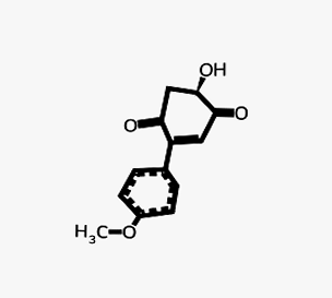 COc1ccc(C2=CC(=O)[C@H](O)CC2=O)cc1